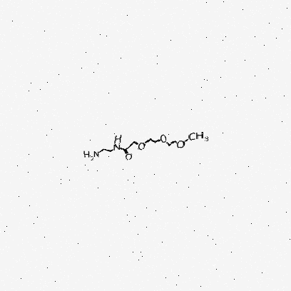 COCCOCCOCC(=O)NCCN